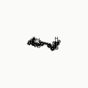 CN1CCC[C@@H]1c1cc2cnc(NC(=O)c3ccc(CCCC4CCN(c5cccc6c5CN(C5CCC(=O)NC5=O)C6=O)CC4)cc3F)cc2n1C(=O)OC(C)(C)C